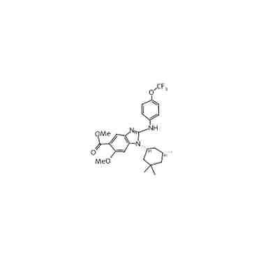 COC(=O)c1cc2nc(Nc3ccc(OC(F)(F)F)cc3)n([C@@H]3C[C@H](C)CC(C)(C)C3)c2cc1OC